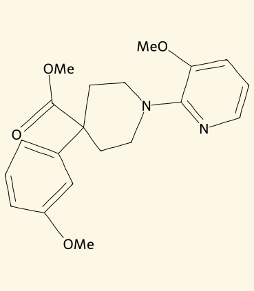 COC(=O)C1(c2cccc(OC)c2)CCN(c2ncccc2OC)CC1